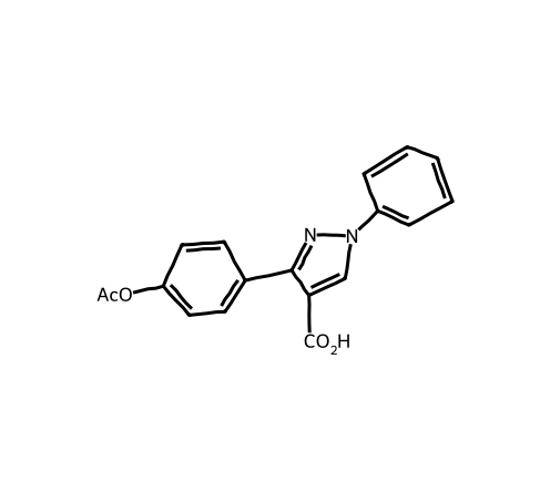 CC(=O)Oc1ccc(-c2nn(-c3ccccc3)cc2C(=O)O)cc1